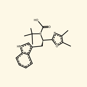 Cc1nc([C@@H](Cc2c[nH]c3ccccc23)N(C(=O)O)C(C)(C)C)oc1C